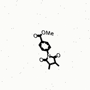 COC(=O)c1ccc(N2C(=O)C(C)C(C)C2=O)cc1